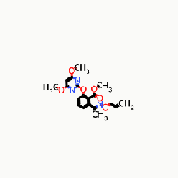 C=CCON=C(C)c1cccc(Oc2nc(OC)cc(OC)n2)c1C(=O)OC